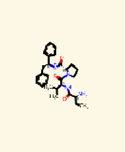 CC[C@H](N)C(=O)N[C@H](C(=O)N1CCC[C@H]1C(=O)N[C@@H](Cc1ccccc1)c1ccccc1)C(C)C